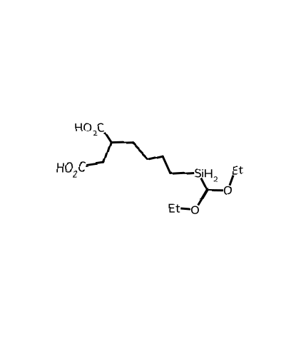 CCOC(OCC)[SiH2]CCCCC(CC(=O)O)C(=O)O